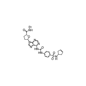 CCNC(=O)[C@@H]1CC[C@H](n2cnc3c(NC(=O)Nc4ccc(S(=O)(=O)NC5CC=CC5)cc4)ncnc32)O1